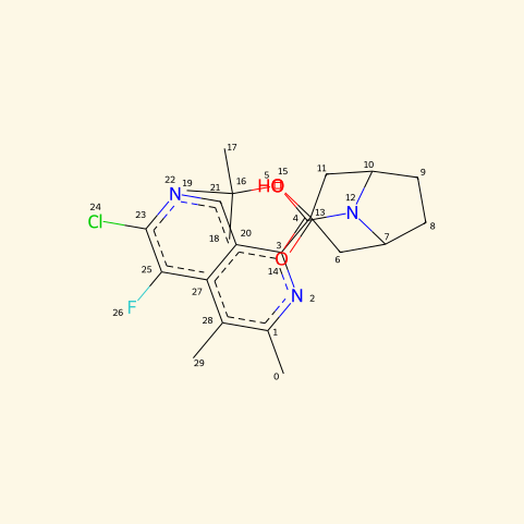 Cc1nc(C2(O)CC3CCC(C2)N3C(=O)OC(C)(C)C)c2cnc(Cl)c(F)c2c1C